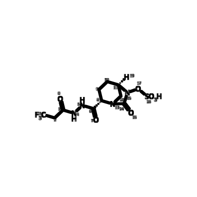 O=C(CC(F)(F)F)NNC(=O)[C@@H]1CC[C@@H]2CN1C(=O)N2OS(=O)(=O)O